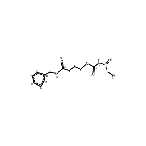 CCOS(=O)NC(=O)OCCCC(=O)OCc1ccccc1